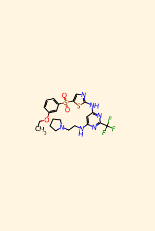 CCOc1cccc(S(=O)(=O)c2cnc(Nc3cc(NCCN4CCCC4)nc(C(F)(F)F)n3)s2)c1